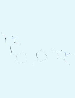 CN1CC(Cc2ccc(Oc3ccc(C=C4SC(=O)NC4=O)cc3)cc2)OC1=O